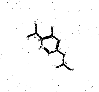 Cc1cc(CC(C)C)cnc1C(C)C